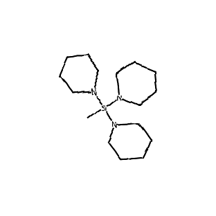 C[Si](N1CCCCC1)(N1CCCCC1)N1CCCCC1